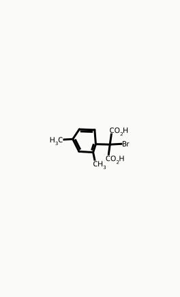 Cc1ccc(C(Br)(C(=O)O)C(=O)O)c(C)c1